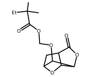 CCC(C)(C)C(=O)OCOC1C2CC3C(=O)OC1C3O2